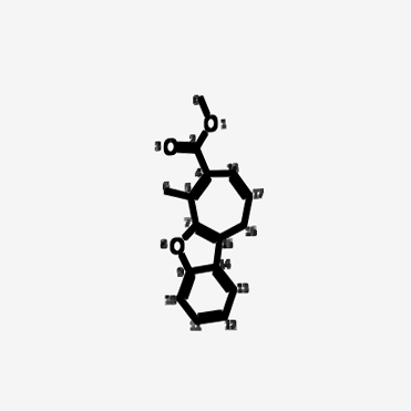 COC(=O)C1=C(C)c2oc3ccccc3c2CC=C1